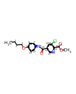 CCCCOc1ccc(NC(=O)c2cnc(C(=O)OC)c(Cl)c2)cc1